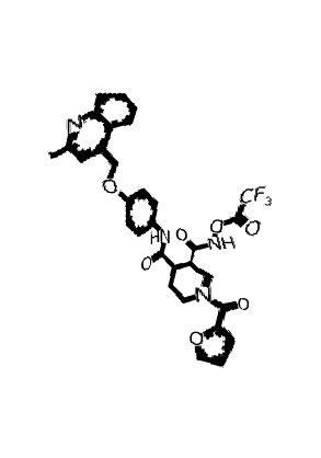 Cc1cc(COc2ccc(NC(=O)C3CCN(C(=O)c4ccco4)C[C@@H]3C(=O)NOC(=O)C(F)(F)F)cc2)c2ccccc2n1